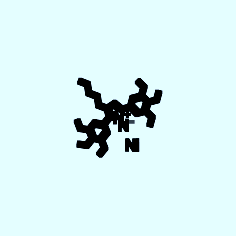 CCCCCC1=C(c2cc(CC)c(CC)c(CC)c2)[N+](=[N-])C(c2cc(CC)c(CC)c(CC)c2)=C1.[Ni]